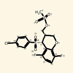 CS(=O)(=O)OC[C@H]1COc2c(F)ccc(F)c2[C@@H]1S(=O)(=O)c1ccc(Cl)cc1